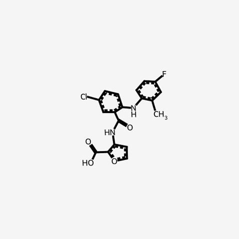 Cc1cc(F)ccc1Nc1ccc(Cl)cc1C(=O)Nc1ccoc1C(=O)O